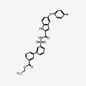 CCOC(=O)c1cccc(-c2cccc(S(=O)(=O)NC(=O)c3cc4cc(Sc5ccc(F)cc5)ccc4[nH]3)c2)c1